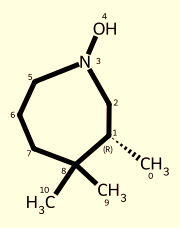 C[C@H]1CN(O)CCCC1(C)C